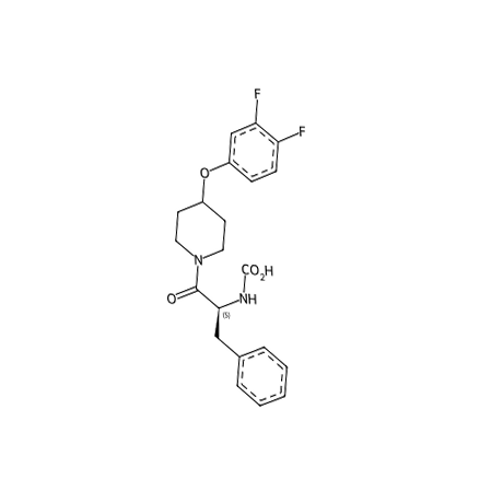 O=C(O)N[C@@H](Cc1ccccc1)C(=O)N1CCC(Oc2ccc(F)c(F)c2)CC1